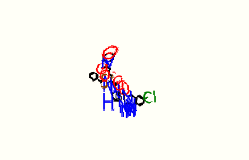 O=C(NCc1cc(Cl)ccc1-n1cnnn1)[C@@H]1CCCN1C(=O)C(CCCC(=O)N1CCOCC1)N[S+]([O-])Cc1ccccc1